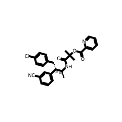 C[C@H](NC(=O)C(C)(C)OC(=O)c1ccccn1)[C@@H](Cc1ccc(Cl)cc1)c1cccc(C#N)c1